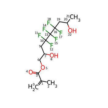 C=C(C)C(=O)OCC(O)CC(F)(F)C(F)(F)C(F)(F)CC(C)O